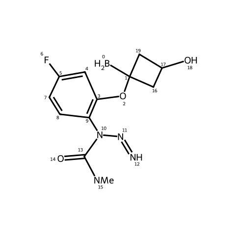 BC1(Oc2cc(F)ccc2N(N=N)C(=O)NC)CC(O)C1